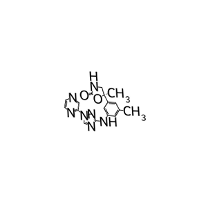 Cc1cc(Nc2ncn(-c3cnccn3)n2)cc([C@]2(C)CNC(=O)O2)c1